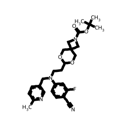 Cc1ccc(CN(CCC2OCC3(CO2)CN(C(=O)OC(C)(C)C)C3)c2ccc(C#N)c(F)c2)cn1